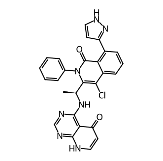 C[C@H](Nc1ncnc2[nH]ccc(=O)c12)c1c(Cl)c2cccc(-c3cc[nH]n3)c2c(=O)n1-c1ccccc1